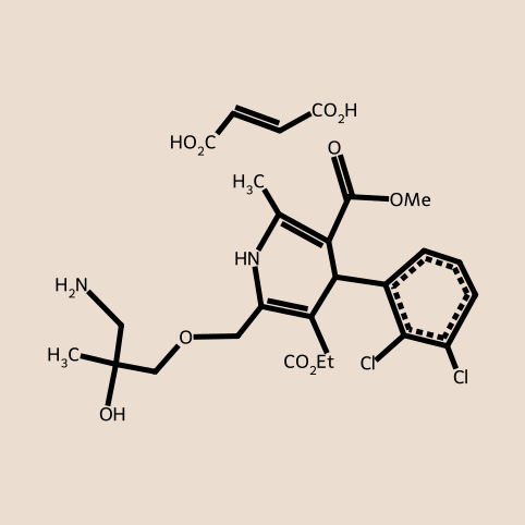 CCOC(=O)C1=C(COCC(C)(O)CN)NC(C)=C(C(=O)OC)C1c1cccc(Cl)c1Cl.O=C(O)C=CC(=O)O